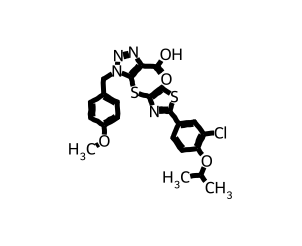 COc1ccc(Cn2nnc(C(=O)O)c2Sc2csc(-c3ccc(OC(C)C)c(Cl)c3)n2)cc1